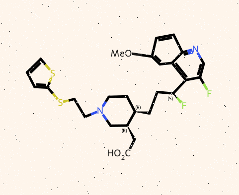 COc1ccc2ncc(F)c([C@@H](F)CC[C@@H]3CCN(CCSc4cccs4)C[C@@H]3CC(=O)O)c2c1